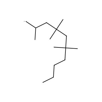 [CH2]C(C)CC(C)(C)CC(C)(C)CCCC